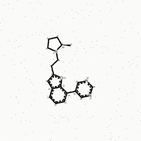 C[C@@H]1CCCN1CCc1cc2cccc(-c3cncnc3)c2o1